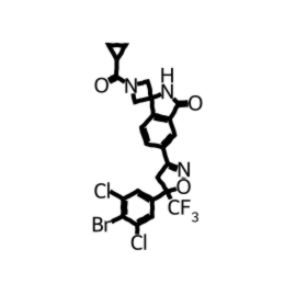 O=C1NC2(CN(C(=O)C3CC3)C2)c2ccc(C3=NOC(c4cc(Cl)c(Br)c(Cl)c4)(C(F)(F)F)C3)cc21